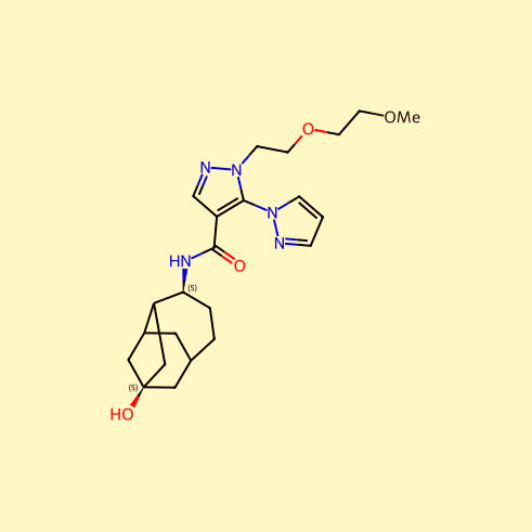 COCCOCCn1ncc(C(=O)N[C@H]2CCC3CC4C[C@@](O)(C3)CC42)c1-n1cccn1